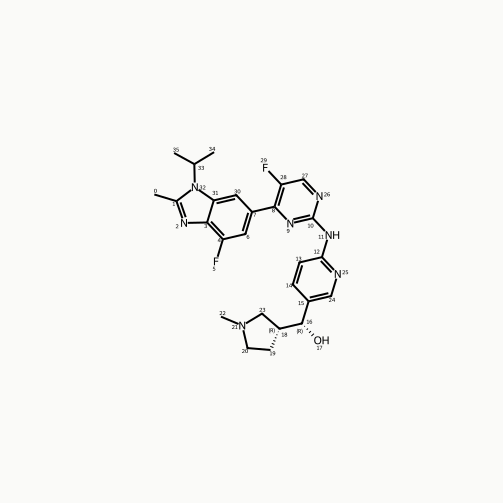 Cc1nc2c(F)cc(-c3nc(Nc4ccc([C@H](O)[C@@H]5CCN(C)C5)cn4)ncc3F)cc2n1C(C)C